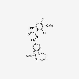 CNS(=O)(=O)C1(c2ccc(N/N=C3\C(=O)Nc4cc(Cl)c(OC)c(Cl)c43)cc2)C=CC=CC1